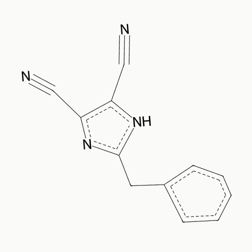 N#Cc1nc(Cc2ccccc2)[nH]c1C#N